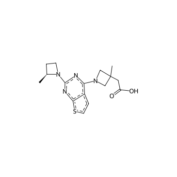 C[C@H]1CCN1c1nc(N2CC(C)(CC(=O)O)C2)c2ccsc2n1